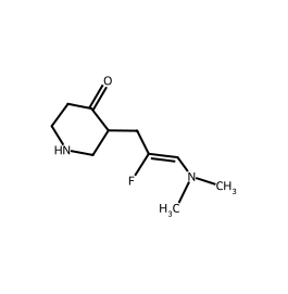 CN(C)C=C(F)CC1CNCCC1=O